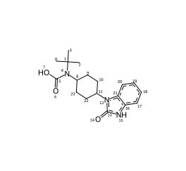 CC(C)(C)N(C(=O)O)C1CCC(n2c(=O)[nH]c3ccccc32)CC1